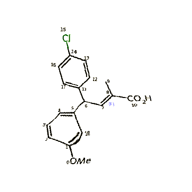 COc1cccc(C(/C=C(\C)C(=O)O)c2ccc(Cl)cc2)c1